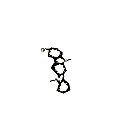 Cn1c2ccccc2c2cc3c(cc21)c1cc(Br)ccc1n3C